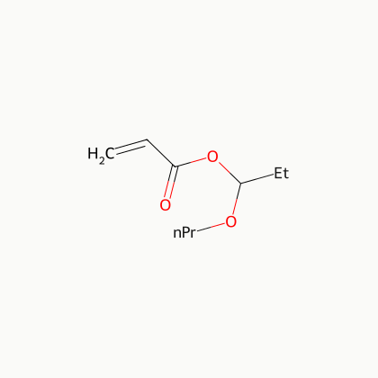 C=CC(=O)OC(CC)OCCC